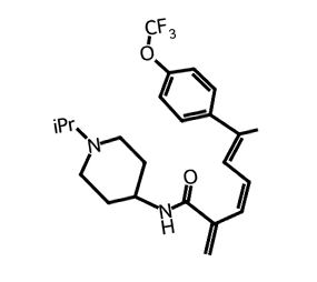 C=C(/C=C\C=C(/C)c1ccc(OC(F)(F)F)cc1)C(=O)NC1CCN(C(C)C)CC1